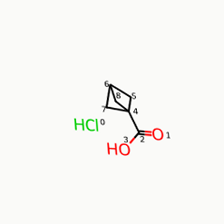 Cl.O=C(O)C12CC(C1)C2